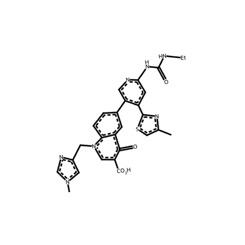 CCNC(=O)Nc1cc(-c2nc(C)cs2)c(-c2ccc3c(c2)c(=O)c(C(=O)O)cn3Cc2cn(C)cn2)cn1